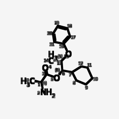 C[C@H](N)C(=O)O[C@H](C1CCCCC1)[C@H](C)Oc1ccccc1